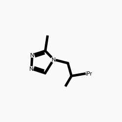 Cc1nncn1CC(C)C(C)C